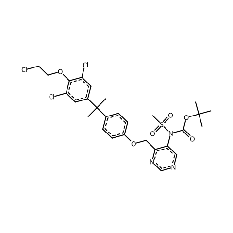 CC(C)(C)OC(=O)N(c1cncnc1COc1ccc(C(C)(C)c2cc(Cl)c(OCCCl)c(Cl)c2)cc1)S(C)(=O)=O